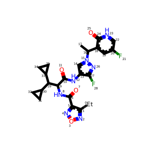 CCc1nonc1C(=O)NC(C(=O)Nc1cn(C(C)c2cc(F)c[nH]c2=O)nc1F)C(C1CC1)C1CC1